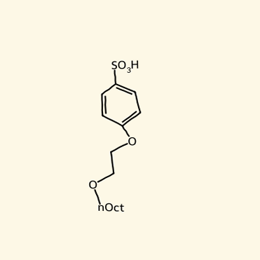 CCCCCCCCOCCOc1ccc(S(=O)(=O)O)cc1